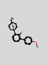 CCCC12CCC(c3cccc(-c4ccc(OCC)cc4)c3F)(CC1)CC2